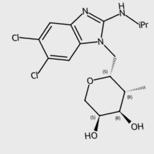 CC(C)Nc1nc2cc(Cl)c(Cl)cc2n1C[C@H]1OC[C@H](O)[C@H](O)[C@H]1C